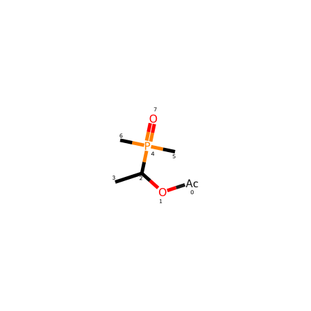 CC(=O)OC(C)P(C)(C)=O